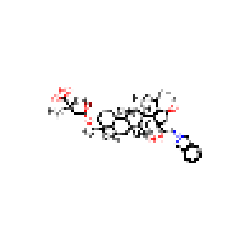 CC(C)C1=C2[C@H]3CCC4[C@@]5(C)CC[C@H](OC(=O)CC(C)(C)C(=O)O)C(C)(C)C5CC[C@@]4(C)[C@]3(C)CC[C@@]2([C@H](O)CN2Cc3ccccc3C2)CC1=O